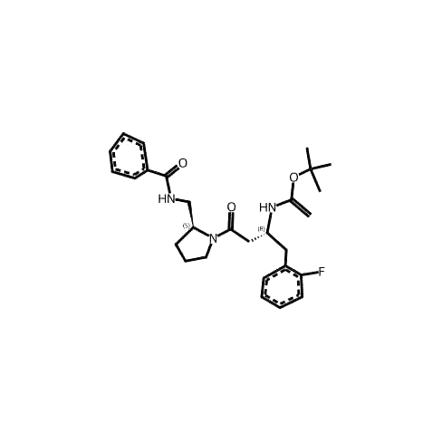 C=C(N[C@@H](CC(=O)N1CCC[C@H]1CNC(=O)c1ccccc1)Cc1ccccc1F)OC(C)(C)C